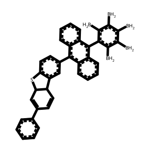 Bc1c(B)c(B)c(-c2c3ccccc3c(-c3ccc4c(c3)C3C=CC(c5ccccc5)=CC3S4)c3ccccc23)c(B)c1B